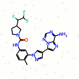 Cc1ccc(NC(=O)N2CCC(C(F)C(F)F)C2)cc1-n1cc(-c2cnc3c(N)ncnn23)cn1